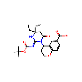 CCC1(CC)CC(=O)N(C2CCOc3ccc(C(=O)O)cc32)C(=NC(=O)OC(C)(C)C)N1